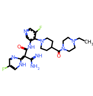 CCN1CCN(C(=O)C2CCN(c3c(F)cncc3NC(=O)/C(C(=N)N)=C3\N=CC(F)=CN3)CC2)CC1